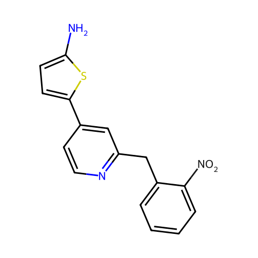 Nc1ccc(-c2ccnc(Cc3ccccc3[N+](=O)[O-])c2)s1